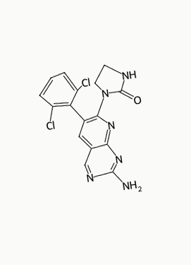 Nc1ncc2cc(-c3c(Cl)cccc3Cl)c(N3CCNC3=O)nc2n1